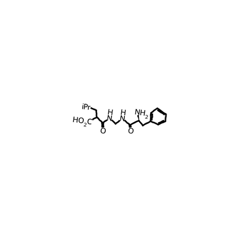 CC(C)CC(C(=O)O)C(=O)NCNC(=O)[C@@H](N)Cc1ccccc1